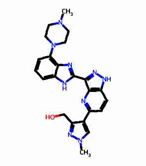 CN1CCN(c2cccc3[nH]c(-c4n[nH]c5ccc(-c6cn(C)nc6CO)nc45)nc23)CC1